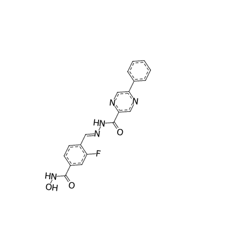 O=C(NO)c1ccc(C=NNC(=O)c2cnc(-c3ccccc3)cn2)c(F)c1